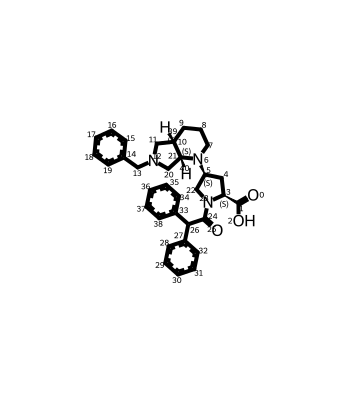 O=C(O)[C@@H]1C[C@H](N2CCC[C@H]3CN(Cc4ccccc4)C[C@H]32)CN1C(=O)C(c1ccccc1)c1ccccc1